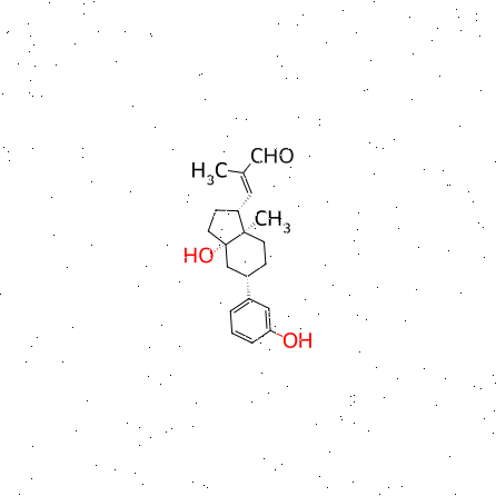 C/C(C=O)=C\[C@H]1CC[C@]2(O)C[C@@H](c3cccc(O)c3)CC[C@]12C